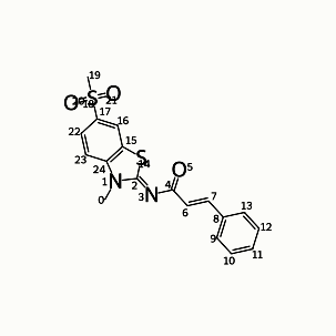 Cn1/c(=N/C(=O)/C=C/c2ccccc2)sc2cc(S(C)(=O)=O)ccc21